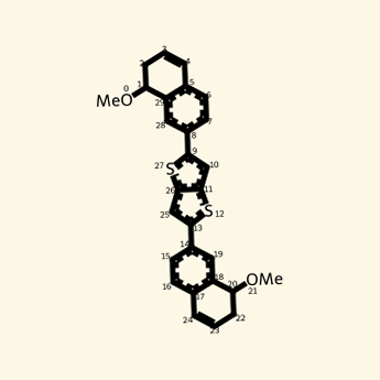 COC1CC=Cc2ccc(-c3cc4sc(-c5ccc6c(c5)C(OC)CC=C6)cc4s3)cc21